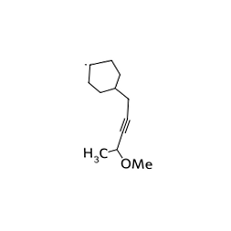 COC(C)C#CCC1CC[CH]CC1